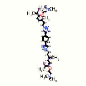 C=C(/C=C\C(OCCN(C)C)=C(/C)I)CCn1cc(-c2ccc(-c3cn(CC/C(C)=C/C=C(/OCCN(C)C)C(=C)I)nn3)cc2)nn1